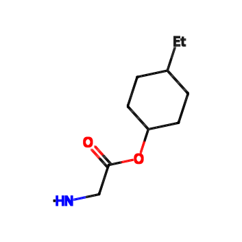 CCC1CCC(OC(=O)C[NH])CC1